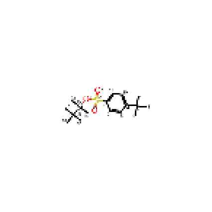 CC(C)(C)c1ccc(S(=O)(=O)O[Si](C)(C)C(C)(C)C)cc1